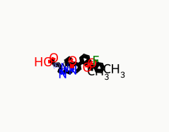 Cc1ccc(C2(C)Oc3cccc(C4CCN(Cc5ncc(/C=C/C(=O)O)n5[C@@H]5CCOC5)CC4)c3O2)c(F)c1